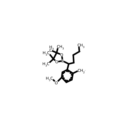 [CH2]c1ccc(OC)cc1C(CC[CH]C)B1OC(C)(C)C(C)(C)O1